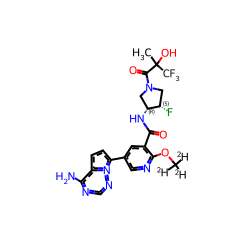 [2H]C([2H])([2H])Oc1ncc(-c2ccc3c(N)ncnn23)cc1C(=O)N[C@@H]1CN(C(=O)C(C)(O)C(F)(F)F)C[C@@H]1F